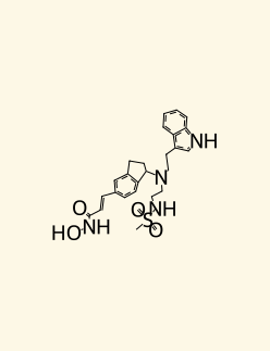 CS(=O)(=O)NCCN(CCc1c[nH]c2ccccc12)C1CCc2cc(/C=C/C(=O)NO)ccc21